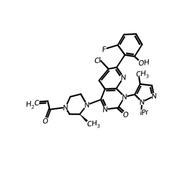 C=CC(=O)N1CCN(c2nc(=O)n(-c3c(C)cnn3C(C)C)c3nc(-c4c(O)cccc4F)c(Cl)cc23)[C@@H](C)C1